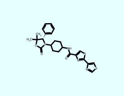 CC1(C)OC(=O)N(C2CCC(NC(=O)c3csc(-c4cscn4)n3)CC2)[C@H]1c1ccccc1